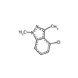 Cc1nn(C)c2cccc(Cl)c12